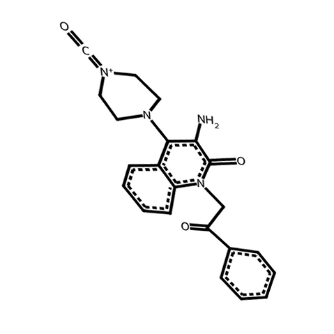 Nc1c(N2CC[N+](=C=O)CC2)c2ccccc2n(CC(=O)c2ccccc2)c1=O